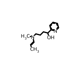 CC=CN(C)CCCC(O)c1ccccn1